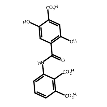 O=C(O)c1cc(O)c(C(=O)Nc2cccc(C(=O)O)c2C(=O)O)cc1O